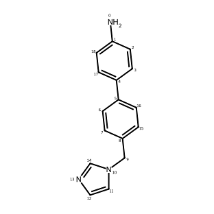 Nc1ccc(-c2ccc(Cn3ccnc3)cc2)cc1